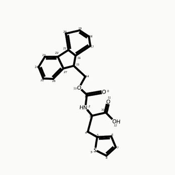 O=C(NC(Cc1cccs1)C(=O)O)OCC1c2ccccc2-c2ccccc21